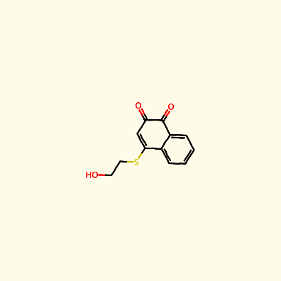 O=C1C=C(SCCO)c2ccccc2C1=O